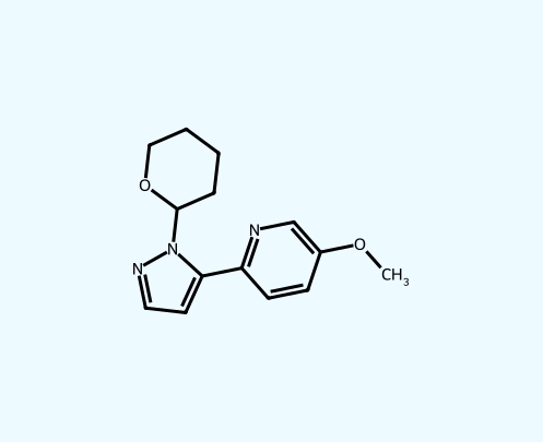 COc1ccc(-c2ccnn2C2CCCCO2)nc1